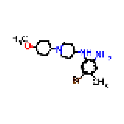 CO[C@H]1CC[C@H](N2CCC(Nc3cc(Br)c(C)cc3N)CC2)CC1